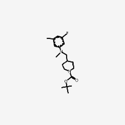 Cc1cc(F)cc(N(C)CC2CCN(C(=O)OC(C)(C)C)CC2)c1